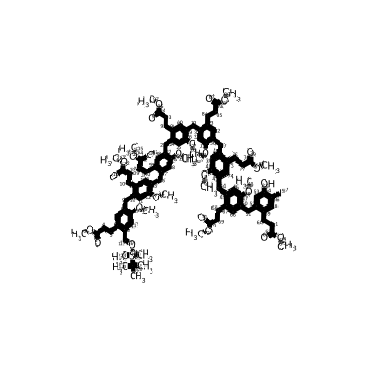 COC(=O)CCc1cc(Cc2cc(OC)c(Cc3cc(OC)c(Cc4cc(OC)c(Cc5cc(OC)c(Cc6cc(OC)c(Cc7cc(OC)c(Cc8cc(O)c(I)cc8CCC(=O)OC)cc7CCC(=O)OC)cc6CCC(=O)OC)cc5CCC(=O)OC)cc4CCC(=O)OC)cc3CCC(=O)OC)cc2CCC(=O)OC)c(OC)cc1CO[Si](C)(C)C(C)(C)C